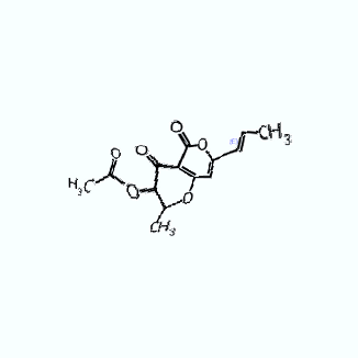 C/C=C/c1cc2c(c(=O)o1)C(=O)C(OC(C)=O)C(C)O2